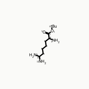 CC(C)(C)OC(=O)C(N)CCCCC(N)N